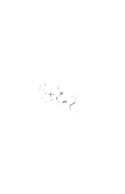 CCCCc1cn(C(C)(C)C)sc1=NC(=O)[C@]1(C)CC[C@H](NC(=O)O)C1(C)C